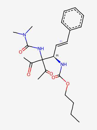 CCCCOC(=O)N[C@H](/C=C/c1ccccc1)C(NC(=O)N(C)C)(C(C)=O)C(C)=O